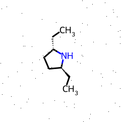 CC[C@H]1CC[C@H](CC)N1